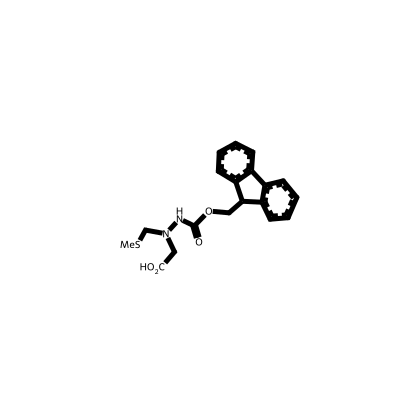 CSCN(CC(=O)O)NC(=O)OCC1c2ccccc2-c2ccccc21